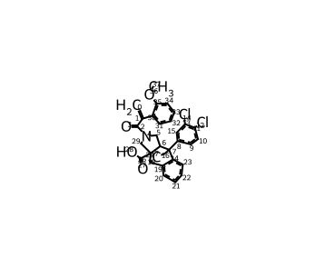 C=C(C(=O)N1CC2C3(c4ccc(Cl)c(Cl)c4)CCC(c4ccccc43)C2(C(=O)O)C1)c1ccccc1OC